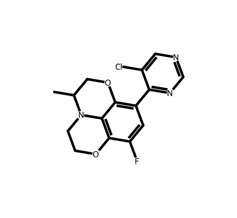 CC1COc2c(-c3ncncc3Cl)cc(F)c3c2N1CCO3